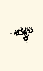 CCn1cc(Cc2cn(C)nc2-c2ccc(F)cc2[C@@H](C)Oc2cccnc2[N+](=O)[O-])c(Cl)n1